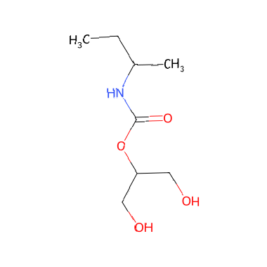 CCC(C)NC(=O)OC(CO)CO